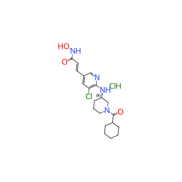 Cl.O=C(C=Cc1cnc(N[C@@H]2CCCN(C(=O)C3CCCCC3)C2)c(Cl)c1)NO